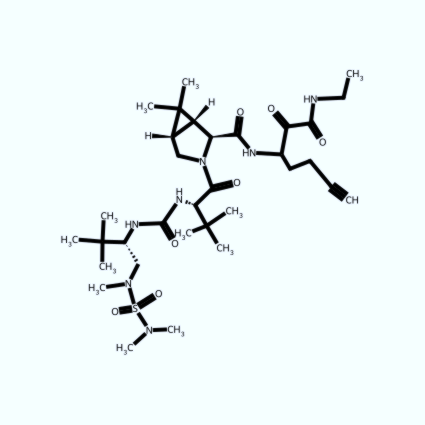 C#CCCC(NC(=O)[C@@H]1[C@@H]2[C@H](CN1C(=O)[C@@H](NC(=O)N[C@H](CN(C)S(=O)(=O)N(C)C)C(C)(C)C)C(C)(C)C)C2(C)C)C(=O)C(=O)NCC